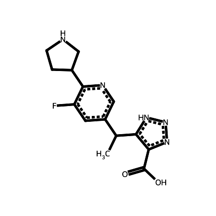 CC(c1cnc(C2CCNC2)c(F)c1)c1[nH]nnc1C(=O)O